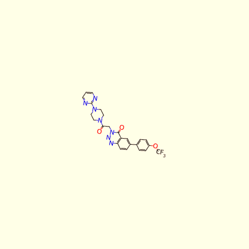 O=C(Cn1nnc2ccc(-c3ccc(OC(F)(F)F)cc3)cc2c1=O)N1CCN(c2ncccn2)CC1